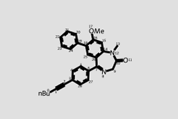 CCCCC#Cc1ccc(C2=NCC(=O)N(C)c3cc(OC)c(-c4ccccc4)cc32)cc1